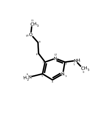 CNc1ncc(N)c(CCOC)n1